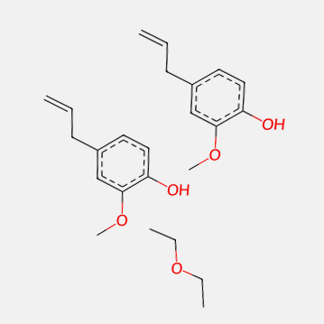 C=CCc1ccc(O)c(OC)c1.C=CCc1ccc(O)c(OC)c1.CCOCC